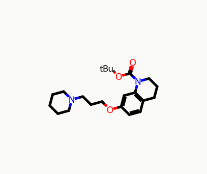 CC(C)(C)OC(=O)N1CCCc2ccc(OCCCN3CCCCC3)cc21